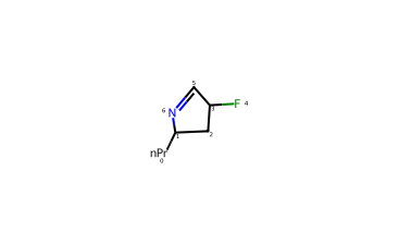 CCCC1CC(F)C=N1